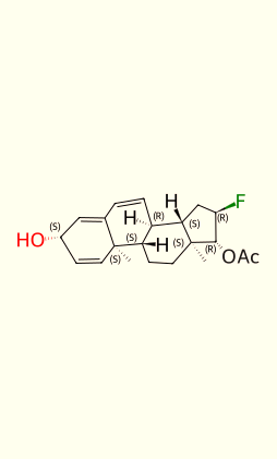 CC(=O)O[C@H]1[C@H](F)C[C@H]2[C@@H]3C=CC4=C[C@@H](O)C=C[C@]4(C)[C@H]3CC[C@@]21C